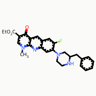 CCOC(=O)c1cn(C)c2nc3cc(N4CCNC(Cc5ccccc5)C4)c(F)cc3cc2c1=O